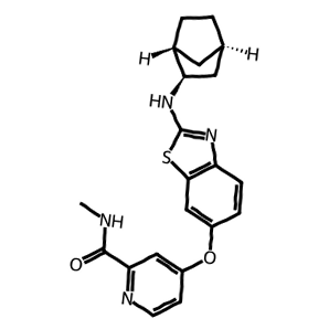 CNC(=O)c1cc(Oc2ccc3nc(N[C@@H]4C[C@@H]5CC[C@@H]4C5)sc3c2)ccn1